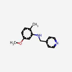 COc1ccc(C)c(NCc2ccncc2)c1